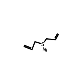 C=CCSCC=C.[Ni]